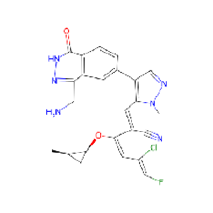 C[C@@H]1C[C@@H]1OC(=C/C(Cl)=C/F)/C(C#N)=C/c1c(-c2ccc3c(=O)[nH]nc(CN)c3c2)cnn1C